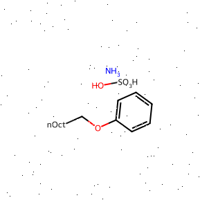 CCCCCCCCCOc1ccccc1.N.O=S(=O)(O)O